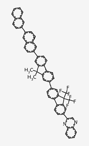 CC1(C)c2cc(-c3ccc4c(c3)C(C(F)(F)F)(C(F)(F)F)c3cc(-c5cnc6ccccc6n5)ccc3-4)ccc2-c2ccc(-c3ccc4cc(-c5ccc6ccccc6c5)ccc4c3)cc21